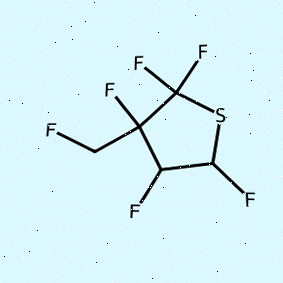 FCC1(F)C(F)C(F)SC1(F)F